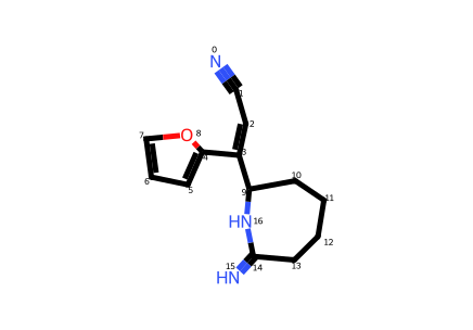 N#CC=C(c1ccco1)C1CCCCC(=N)N1